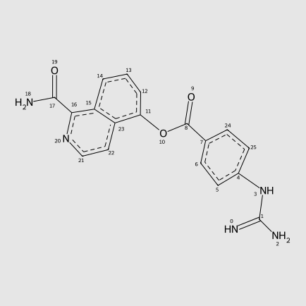 N=C(N)Nc1ccc(C(=O)Oc2cccc3c(C(N)=O)nccc23)cc1